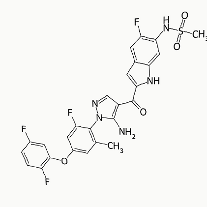 Cc1cc(Oc2cc(F)ccc2F)cc(F)c1-n1ncc(C(=O)c2cc3cc(F)c(NS(C)(=O)=O)cc3[nH]2)c1N